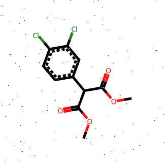 COC(=O)C(C(=O)OC)c1ccc(Cl)c(Cl)c1